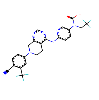 N#Cc1ccc(N2CCc3c(ncnc3Nc3ccc(N(CC(F)(F)F)C(=O)O)cn3)C2)cc1C(F)(F)F